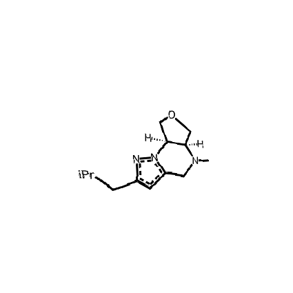 CC(C)Cc1cc2n(n1)[C@H]1COC[C@H]1N(C)C2